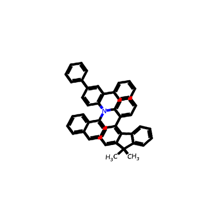 CC1(C)c2ccccc2-c2c(-c3ccccc3N(c3ccc(-c4ccccc4)cc3-c3ccccc3)c3cccc4ccccc34)cccc21